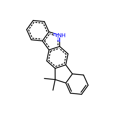 CC1(C)C2=CC=CCC2c2cc3[nH]c4ccccc4c3cc21